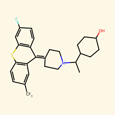 CC(C1CCC(O)CC1)N1CCC(=C2c3ccc(F)cc3Sc3ccc(C(F)(F)F)cc32)CC1